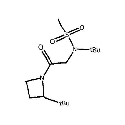 CC(C)(C)C1CCN1C(=O)CN(C(C)(C)C)S(C)(=O)=O